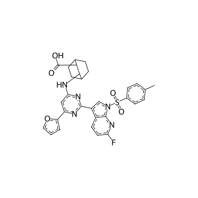 Cc1ccc(S(=O)(=O)n2cc(-c3nc(NC4C5CCC(CC5)C4C(=O)O)cc(-c4ccco4)n3)c3ccc(F)nc32)cc1